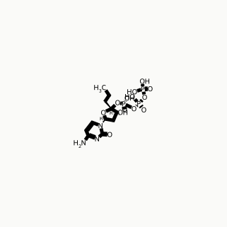 CCC[C@]1(OP(=O)(O)OP(=O)(O)OP(=O)(O)O)O[C@@H](n2ccc(N)nc2=O)C[C@@H]1O